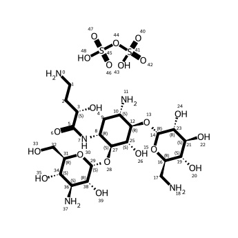 NCC[C@H](O)C(=O)N[C@@H]1C[C@H](N)[C@@H](O[C@H]2O[C@H](CN)[C@@H](O)[C@H](O)[C@H]2O)[C@H](O)[C@H]1O[C@H]1O[C@H](CO)[C@@H](O)[C@H](N)[C@H]1O.O=S(=O)(O)OS(=O)(=O)O